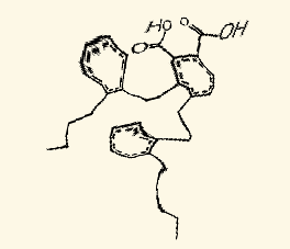 CCCCc1ccccc1Cc1ccc(C(=O)O)c(C(=O)O)c1Cc1ccccc1CCCC